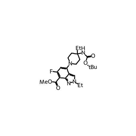 CCn1cc2c(N3CCC(CC)(NC(=O)OC(C)(C)C)CC3)cc(F)c(C(=O)OC)c2n1